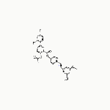 COc1cc(/C=C/c2ccc(OC(=O)c3cc(-c4ccc(F)cc4F)ccc3OC(C)=O)cc2)cc(OC)c1